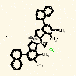 CCCCC1=Cc2c(-c3cccc4ccccc34)cc(C)c(C)c2[CH]1[Zr+2]1([CH]2C(CCCC)=Cc3c(-c4cccc5ccccc45)cc(C)c(C)c32)[CH2][CH2]1.[Cl-].[Cl-]